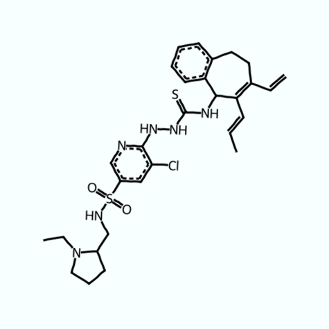 C=CC1=C(C=CC)C(NC(=S)NNc2ncc(S(=O)(=O)NCC3CCCN3CC)cc2Cl)c2ccccc2CC1